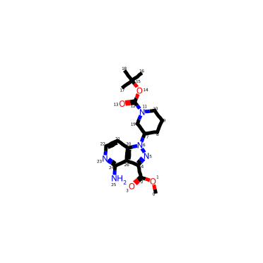 COC(=O)c1nn(C2CCCN(C(=O)OC(C)(C)C)C2)c2ccnc(N)c12